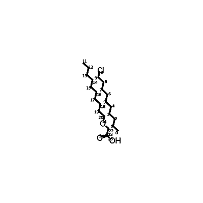 CCCCCCCCCCCl.CCCCCCCCCCOCC(=O)O